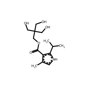 Cc1c[nH]c(C(C)C)c1C(=O)OCC(CO)(CO)CO